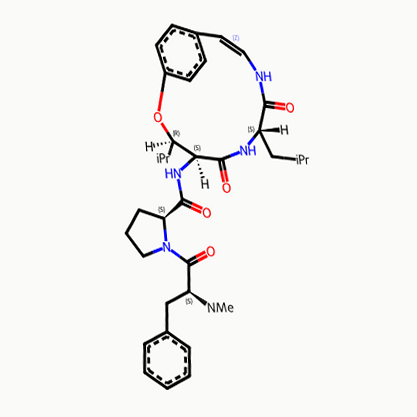 CN[C@@H](Cc1ccccc1)C(=O)N1CCC[C@H]1C(=O)N[C@@H]1C(=O)N[C@@H](CC(C)C)C(=O)N/C=C\c2ccc(cc2)O[C@@H]1C(C)C